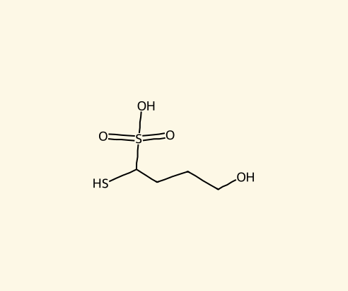 O=S(=O)(O)C(S)CCCO